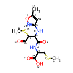 CSCC(NC(=O)C(Nc1cc(C)on1)C(C=O)SC)C(=O)O